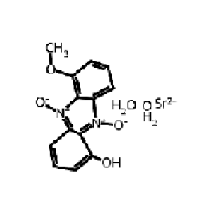 COc1cccc2c1[n+]([O-])c1cccc(O)c1[n+]2[O-].O.O.[Sr+2]